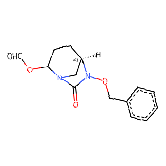 O=COC1CC[C@@H]2CN1C(=O)N2OCc1ccccc1